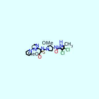 COC(=O)c1sc(N2CC[C@@H](NC(=O)c3[nH]c(C)c(Cl)c3Cl)[C@@H](OC)C2)nc1-c1nccc(N2CCCCC2)n1